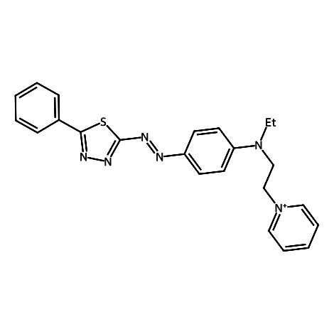 CCN(CC[n+]1ccccc1)c1ccc(/N=N/c2nnc(-c3ccccc3)s2)cc1